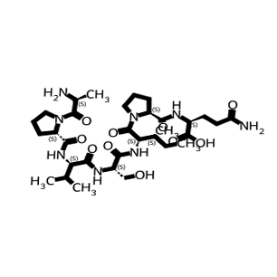 CC[C@H](C)[C@H](NC(=O)[C@H](CO)NC(=O)[C@@H](NC(=O)[C@@H]1CCCN1C(=O)[C@H](C)N)C(C)C)C(=O)N1CCC[C@H]1C(=O)N[C@@H](CCC(N)=O)C(=O)O